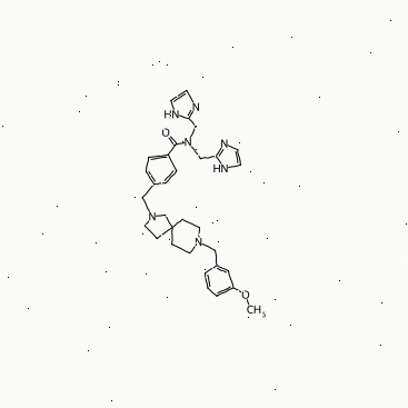 COc1cccc(CN2CCC3(CC2)CCN(Cc2ccc(C(=O)N(Cc4ncc[nH]4)Cc4ncc[nH]4)cc2)C3)c1